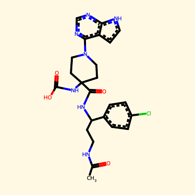 CC(=O)NCCC(NC(=O)C1(NC(=O)O)CCN(c2ncnc3[nH]ccc23)CC1)c1ccc(Cl)cc1